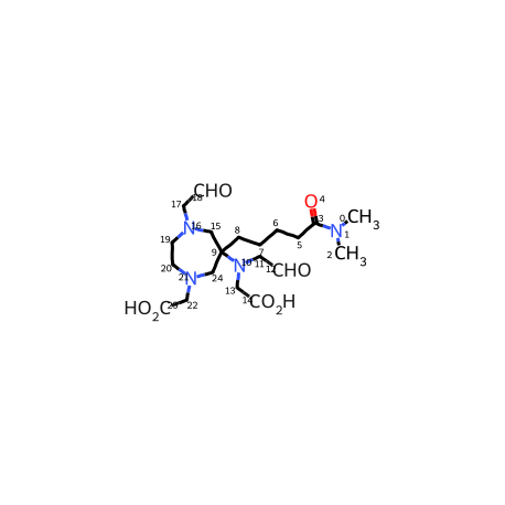 CN(C)C(=O)CCCCC1(N(CC=O)CC(=O)O)CN(CC=O)CCN(CC(=O)O)C1